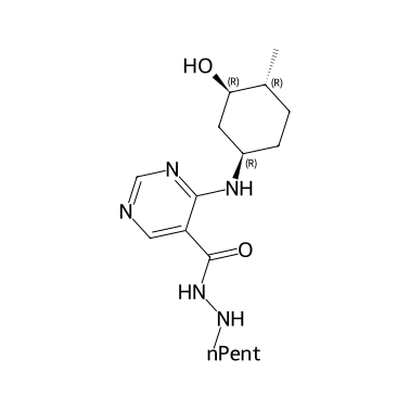 CCCCCNNC(=O)c1cncnc1N[C@@H]1CC[C@@H](C)[C@H](O)C1